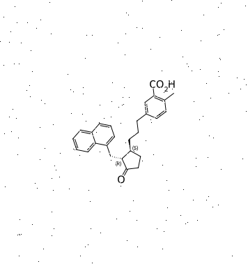 Cc1ccc(CCC[C@H]2CCC(=O)[C@@H]2Cc2cccc3ccccc23)cc1C(=O)O